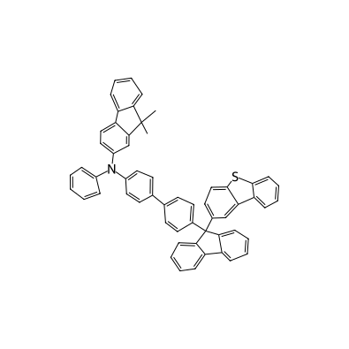 CC1(C)c2ccccc2-c2ccc(N(c3ccccc3)c3ccc(-c4ccc(C5(c6ccc7sc8ccccc8c7c6)c6ccccc6-c6ccccc65)cc4)cc3)cc21